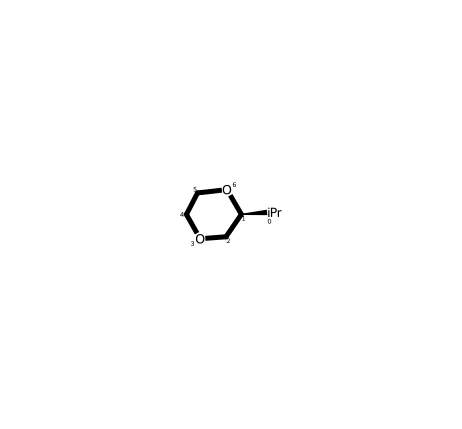 CC(C)[C@H]1COCCO1